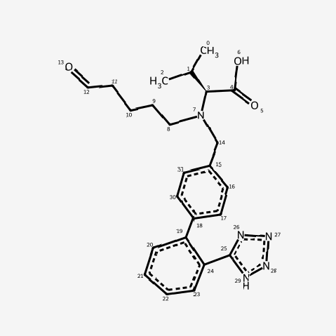 CC(C)[C@@H](C(=O)O)N(CCCCC=O)Cc1ccc(-c2ccccc2-c2nnn[nH]2)cc1